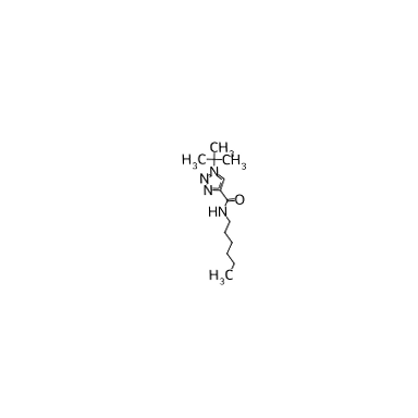 CCCCCCNC(=O)c1cn(C(C)(C)C)nn1